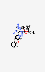 CC(OC(=O)N/C(=C(/N)c1ccc(OC2CCCCC2)cn1)N(C)N)C1CC1